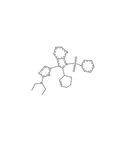 CCN(CC)c1nc(-c2c(C3C=CCCC3)n(S(=O)(=O)c3ccccc3)c3ncccc23)cs1